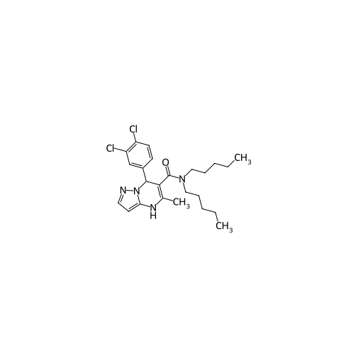 CCCCCN(CCCCC)C(=O)C1=C(C)Nc2ccnn2C1c1ccc(Cl)c(Cl)c1